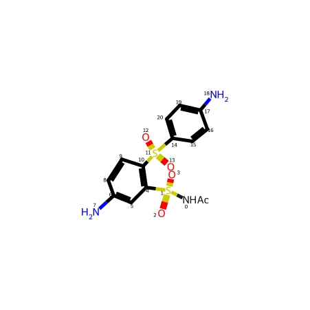 CC(=O)NS(=O)(=O)c1cc(N)ccc1S(=O)(=O)c1ccc(N)cc1